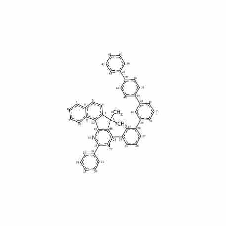 CC1(C)c2ccc3ccccc3c2-c2nc(-c3ccccc3)nc(-c3cccc(-c4cccc(-c5ccc(-c6ccccc6)cc5)c4)c3)c21